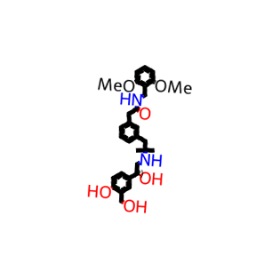 COc1cccc(OC)c1CNC(=O)Cc1cccc(CC(C)(C)NC[C@H](O)c2ccc(O)c(CO)c2)c1